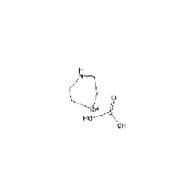 C1CNCCN1.O=S(O)O